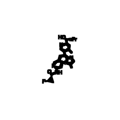 CCCC(O)c1cc(C)c(-c2cc3cnc(NC(=O)[C@H]4C[C@H]4F)cc3n3c(C)cnc23)cn1